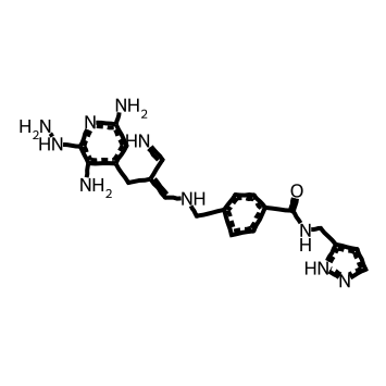 N=C/C(=C\NCc1ccc(C(=O)NCc2ccn[nH]2)cc1)Cc1cc(N)nc(NN)c1N